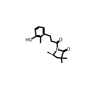 Cc1c(O)cccc1CCC(=O)N1C(=O)C(C)(C)C[C@H]1C